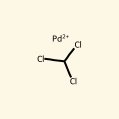 ClC(Cl)Cl.[Pd+2]